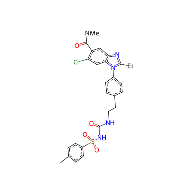 CCc1nc2cc(C(=O)NC)c(Cl)cc2n1-c1ccc(CCNC(=O)NS(=O)(=O)c2ccc(C)cc2)cc1